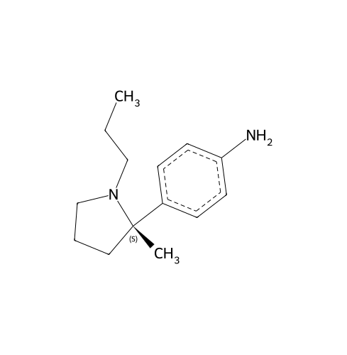 CCCN1CCC[C@@]1(C)c1ccc(N)cc1